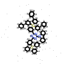 c1ccc(-c2cccc(S(c3cccc(-c4ccccc4)c3)(c3cccc(-c4ccccc4)c3)c3cccc(-c4nc(-c5cccc(S(c6ccccc6)(c6ccccc6)c6ccccc6)c5)nc(-n5c6ccccc6c6ccccc65)n4)c3)c2)cc1